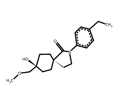 CCc1ccc(N2CC[C@]3(CC[C@@](O)(COC)CC3)C2=O)cc1